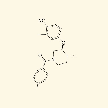 Cc1ccc(C(=O)N2CC[C@@H](C)[C@H](Oc3ccc(C#N)c(C)c3)C2)cc1